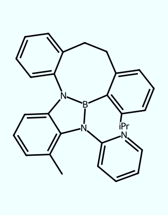 Cc1cccc2c1N(c1ccccn1)B1c3c(cccc3C(C)C)CCc3ccccc3N12